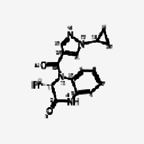 CC(C)[C@H]1C(=O)Nc2ccccc2N1C(=O)c1cnn(C2CC2)c1